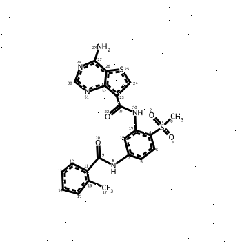 CS(=O)(=O)c1ccc(NC(=O)c2ccccc2C(F)(F)F)cc1NC(=O)c1csc2c(N)ncnc12